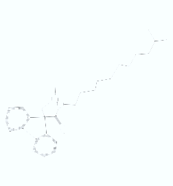 COCC1(C(=O)OCCCCCCCCCC(C)C)c2ccccc2-c2ccccc21